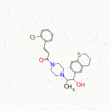 CC(C(O)c1ccc2c(c1)CCCS2)N1CCN(C(=O)/C=C/c2ccccc2Cl)CC1